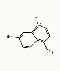 Cc1cc[n+]([O-])c2cc(Br)ccc12